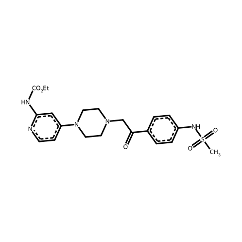 CCOC(=O)Nc1cc(N2CCN(CC(=O)c3ccc(NS(C)(=O)=O)cc3)CC2)ccn1